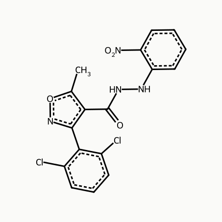 Cc1onc(-c2c(Cl)cccc2Cl)c1C(=O)NNc1ccccc1[N+](=O)[O-]